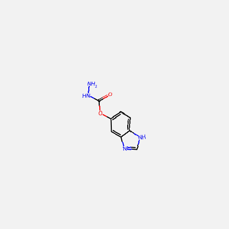 NNC(=O)Oc1ccc2[nH]cnc2c1